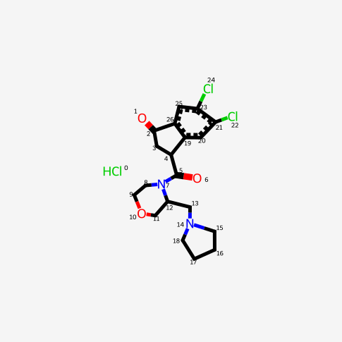 Cl.O=C1CC(C(=O)N2CCOCC2CN2CCCC2)c2cc(Cl)c(Cl)cc21